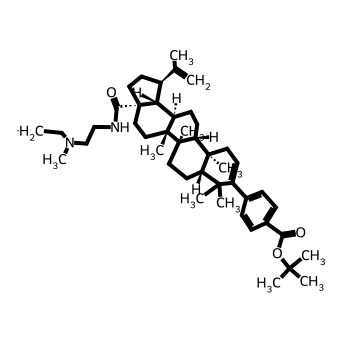 [CH2]CN(C)CCNC(=O)[C@]12CC[C@@H](C(=C)C)[C@@H]1[C@H]1CC[C@@H]3[C@@]4(C)CC=C(c5ccc(C(=O)OC(C)(C)C)cc5)C(C)(C)[C@@H]4CC[C@@]3(C)[C@]1(C)CC2